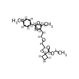 CCOC(=O)C1(SCCOCCc2nc(-c3ccc(C)cc3)oc2C)CCC1